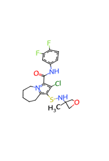 CC1(NSc2c(Cl)c(C(=O)Nc3ccc(F)c(F)c3)n3c2CCCCC3)COC1